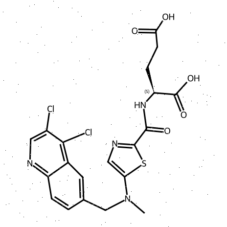 CN(Cc1ccc2ncc(Cl)c(Cl)c2c1)c1cnc(C(=O)N[C@@H](CCC(=O)O)C(=O)O)s1